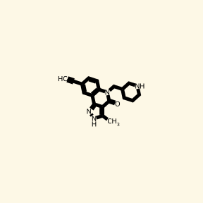 C#Cc1ccc2c(c1)c1n[nH]c(C)c1c(=O)n2CC1CCCNC1